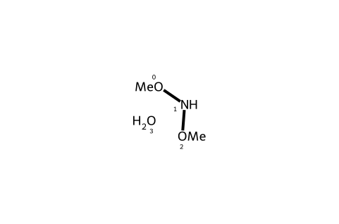 CONOC.O